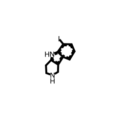 Ic1cccc2c3c([nH]c12)CCNC3